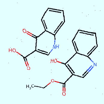 CCOC(=O)c1cnc2ccccc2c1O.O=C(O)c1c[nH]c2ccccc2c1=O